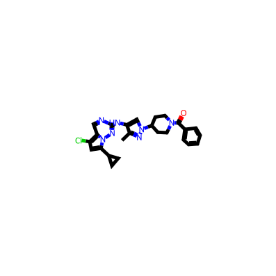 Cc1nn(C2CCN(C(=O)c3ccccc3)CC2)cc1Nc1ncc2c(Cl)cc(C3CC3)n2n1